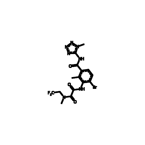 Cc1c(C(=O)Nc2nnnn2C)ccc(Br)c1NC(=O)C(=O)N(C)CC(F)(F)F